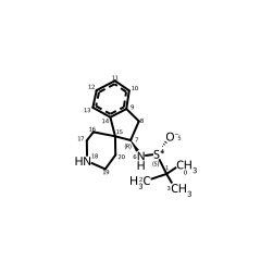 CC(C)(C)[S@@+]([O-])N[C@@H]1Cc2ccccc2C12CCNCC2